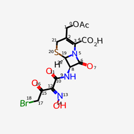 CC(=O)OCC1=C(C(=O)O)N2C(=O)[C@@H](NC(=O)C(=NO)C(=O)CBr)[C@H]2SC1